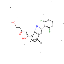 COC=CC(=O)C=C(O)[C@@]12CC[C@@H](c3cc(-c4c(F)cccc4F)nnc31)C2(C)C